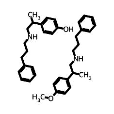 CC(CNCCCc1ccccc1)c1ccc(O)cc1.COc1ccc(C(C)CNCCCc2ccccc2)cc1